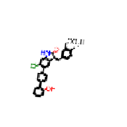 Cc1ccc(/C=C2\C(=O)Nc3cc(Cl)c(-c4ccc(-c5ccccc5O)cc4)cc32)cc1CC(=O)O